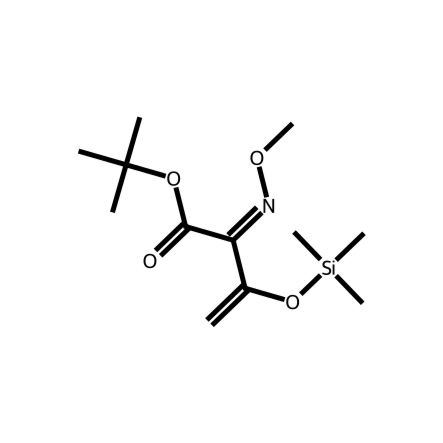 C=C(O[Si](C)(C)C)C(=NOC)C(=O)OC(C)(C)C